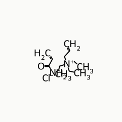 C=CC(N)=O.C=CC[N+](CC)(CC)CC.[Cl-]